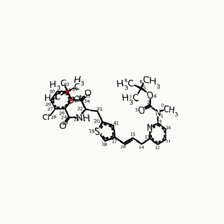 CN(C(=O)OC(C)(C)C)c1cccc(C/C=C/c2csc(CC(NC(=O)c3c(Cl)cccc3Cl)C(=O)OC(C)(C)C)c2)n1